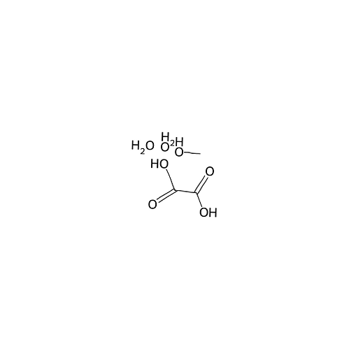 CO.O.O.O=C(O)C(=O)O